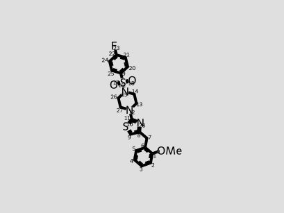 COc1ccccc1Cc1csc(N2CCN(S(=O)(=O)c3ccc(F)cc3)CC2)n1